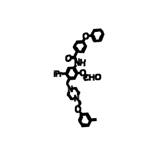 Cc1cccc(OCN2CCN(Cc3cc(OC=O)c(NC(=O)c4ccc(Oc5ccccc5)cc4)cc3C(C)C)CC2)c1